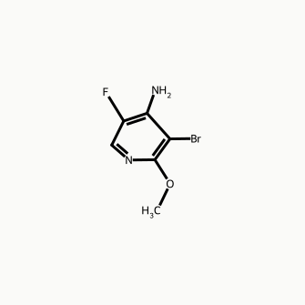 COc1ncc(F)c(N)c1Br